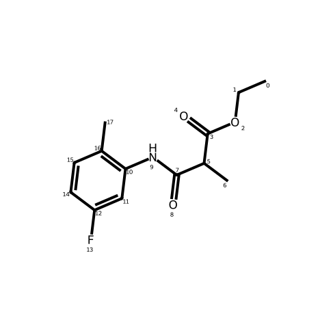 CCOC(=O)C(C)C(=O)Nc1cc(F)ccc1C